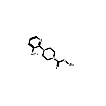 COc1cccnc1N1CCN(C(=O)OC(C)(C)C)CC1